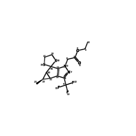 CCOC(=O)Cn1nc(C(F)(F)F)c2c1C1(SCCS1)C1C2[C@H]1C